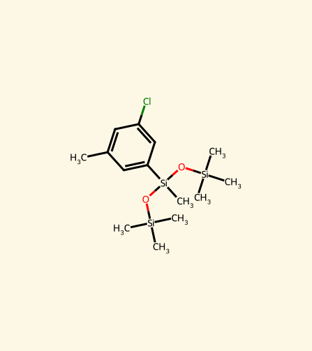 Cc1cc(Cl)cc([Si](C)(O[Si](C)(C)C)O[Si](C)(C)C)c1